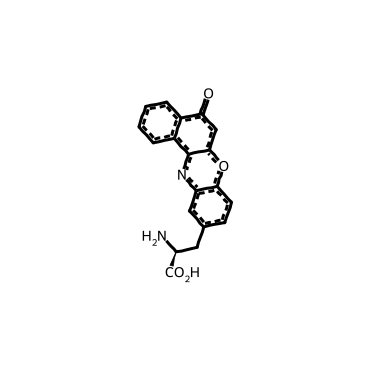 N[C@@H](Cc1ccc2oc3cc(=O)c4ccccc4c-3nc2c1)C(=O)O